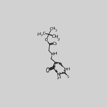 CC(C)(C)OC(=O)CNCc1c[nH]c(=O)[nH]c1=O